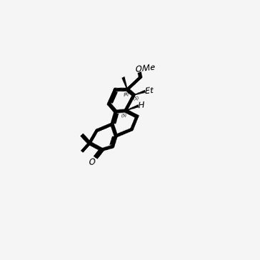 CC[C@H]1[C@@H]2CCC3=CC(=O)C(C)(C)CC3=C2C=C[C@]1(C)COC